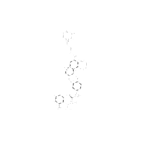 CC(NC(=O)Nc1ccc(Oc2ccnc3cc(OCCCN4CCOCC4)c4c(c23)OCCO4)c(F)c1)c1ccccc1Cl